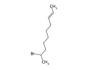 CC=CCCCCCC(C)Br